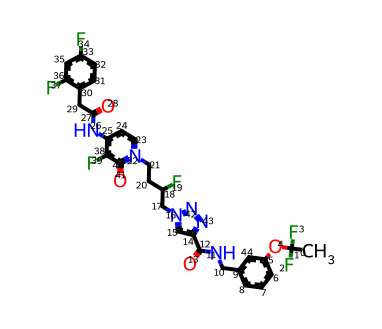 CC(F)(F)Oc1cccc(CNC(=O)c2cn(CC(F)CCn3ccc(NC(=O)Cc4ccc(F)cc4F)c(F)c3=O)nn2)c1